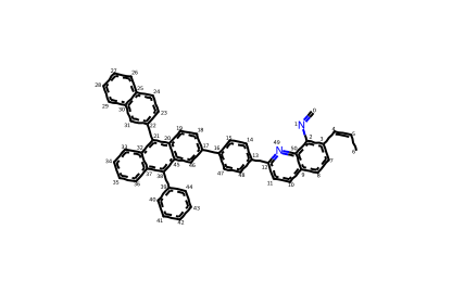 C=Nc1c(/C=C\C)ccc2ccc(-c3ccc(-c4ccc5c(-c6ccc7ccccc7c6)c6ccccc6c(-c6ccccc6)c5c4)cc3)nc12